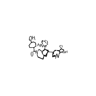 O=C(C1CCC(O)CC1)N1CCc2cc(-c3cnc4[nH]cc(Cl)c4c3)cc([C@@H]3COCCN3)c2C1